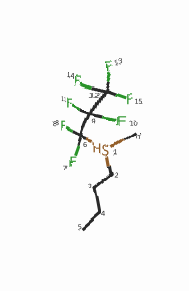 [CH2][SH](CCCC)C(F)(F)C(F)(F)C(F)(F)F